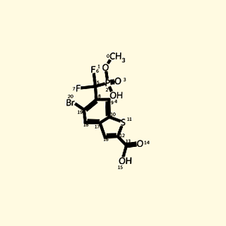 COP(=O)(O)C(F)(F)c1cc2sc(C(=O)O)cc2cc1Br